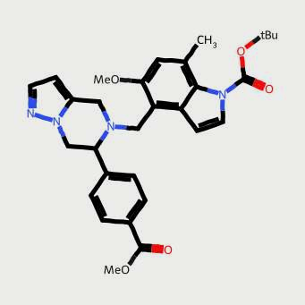 COC(=O)c1ccc(C2Cn3nccc3CN2Cc2c(OC)cc(C)c3c2ccn3C(=O)OC(C)(C)C)cc1